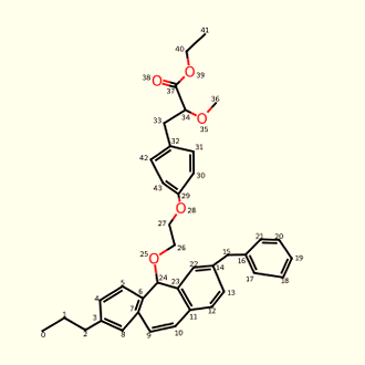 CCCc1ccc2c(c1)C=Cc1ccc(Cc3ccccc3)cc1C2OCCOc1ccc(CC(OC)C(=O)OCC)cc1